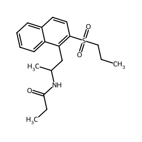 CCCS(=O)(=O)c1ccc2ccccc2c1CC(C)NC(=O)CC